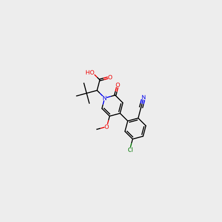 COc1cn(C(C(=O)O)C(C)(C)C)c(=O)cc1-c1cc(Cl)ccc1C#N